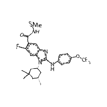 CSNC(=O)c1cc2nc(Nc3ccc(OC(F)(F)F)cc3)n([C@@H]3C[C@H](C)CC(C)(C)C3)c2cc1F